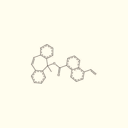 C=Cc1cccc2c(C(=O)OC3(C)c4ccccc4C=Cc4ccccc43)cccc12